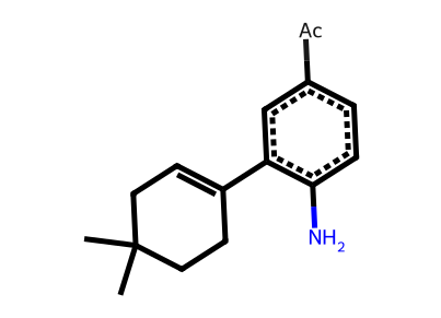 CC(=O)c1ccc(N)c(C2=CCC(C)(C)CC2)c1